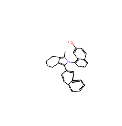 Cc1c2c(c(-c3ccc4ccccc4c3)n1-c1cccc3ccc(O)cc13)CCCC2